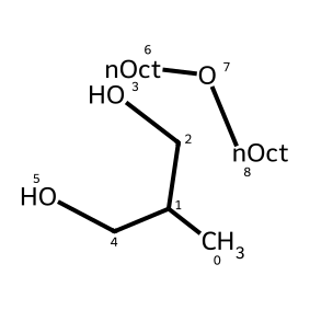 CC(CO)CO.CCCCCCCCOCCCCCCCC